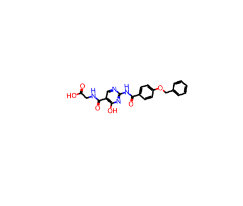 O=C(O)CNC(=O)c1cnc(NC(=O)c2ccc(OCc3ccccc3)cc2)nc1O